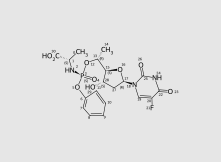 C[C@H](N[P@@](=O)(Oc1ccccc1)O[C@H](C)[C@H]1O[C@@H](n2cc(F)c(=O)[nH]c2=O)C[C@@H]1O)C(=O)O